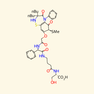 CCCCC1(CCCC)NSC2=C(C(=O)[C@@H](SC)C(OCC(=O)N[C@@H](C(=O)NCCCC(=O)N[C@@H](CO)C(=O)O)c3ccccc3)=C2)N(c2ccccc2)C1=O